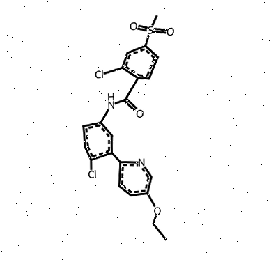 CCOc1ccc(-c2cc(NC(=O)c3ccc(S(C)(=O)=O)cc3Cl)ccc2Cl)nc1